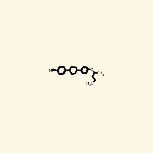 CCCC(C)Oc1ccc(C2CCC(c3ccc(C#N)cc3)CC2)cc1